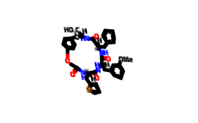 COc1cccc(C[C@@H]2NC(=O)[C@H](Cc3cccs3)NC(=O)COc3ccc(cc3)C[C@@H](C(=O)O)NC(=O)[C@H](Cc3ccccc3)NC2=O)c1